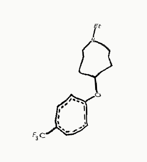 [CH2]CN1CCC(Oc2ccc(C(F)(F)F)cc2)CC1